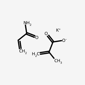 C=C(C)C(=O)[O-].C=CC(N)=O.[K+]